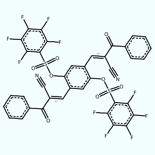 N#C/C(=C\c1cc(OS(=O)(=O)c2c(F)c(F)c(F)c(F)c2F)c(/C=C(\C#N)C(=O)c2ccccc2)cc1OS(=O)(=O)c1c(F)c(F)c(F)c(F)c1F)C(=O)c1ccccc1